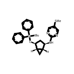 CSc1cnc(N[C@@H]2C[C@H](O[Si](c3ccccc3)(c3ccccc3)C(C)(C)C)[C@H]3C[C@H]32)nc1